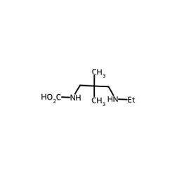 CCNCC(C)(C)CNC(=O)O